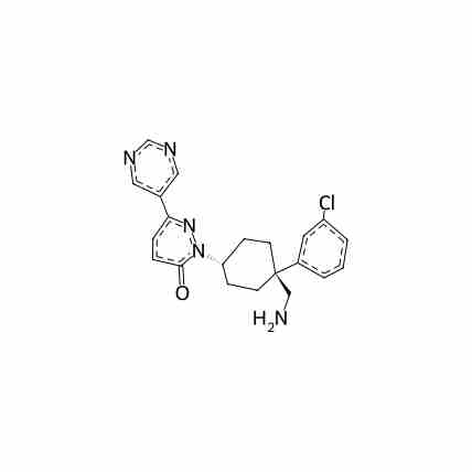 NC[C@]1(c2cccc(Cl)c2)CC[C@@H](n2nc(-c3cncnc3)ccc2=O)CC1